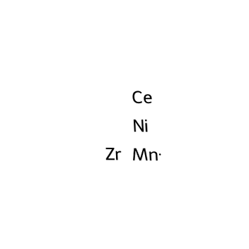 [Ce].[Mn].[Ni].[Zr]